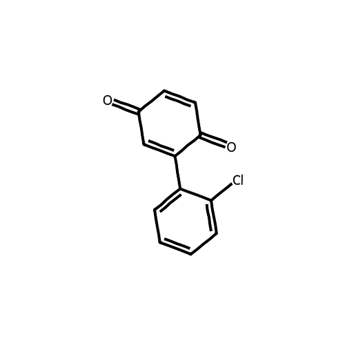 O=C1C=CC(=O)C(c2ccccc2Cl)=C1